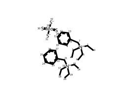 CC[N+](CC)(CC)Cc1ccccc1.CC[N+](CC)(CC)Cc1ccccc1.[S]=[Mo](=[S])([S-])[S-]